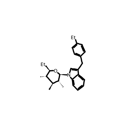 CCc1ccc(Cc2cn([C@@H]3O[C@H](CC)[C@@H](C)[C@H](C)[C@H]3C)c3ccccc23)cc1